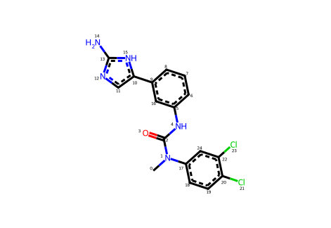 CN(C(=O)Nc1cccc(-c2cnc(N)[nH]2)c1)c1ccc(Cl)c(Cl)c1